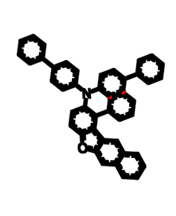 c1ccc(-c2ccc(N(c3ccc(-c4ccccc4)cc3)c3ccc4oc5cc6ccccc6cc5c4c3-c3ccccc3)cc2)cc1